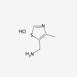 Cc1ncsc1CN.Cl